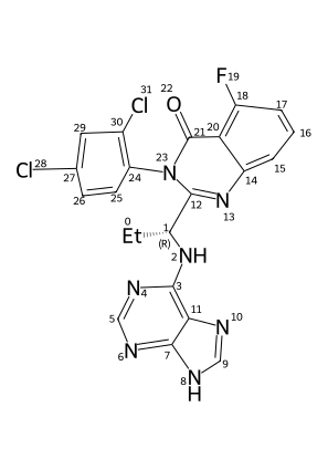 CC[C@@H](Nc1ncnc2[nH]cnc12)c1nc2cccc(F)c2c(=O)n1-c1ccc(Cl)cc1Cl